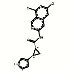 O=C(Nc1cc2cc(Cl)nc(Cl)c2cn1)[C@@H]1C[C@H]1c1cn[nH]c1